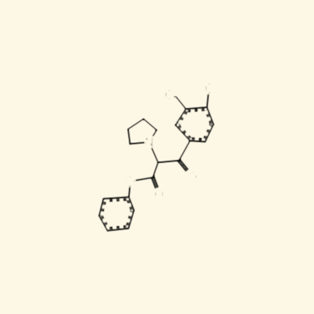 O=C(Oc1ccccc1)C(C(=O)c1ccc(Cl)c(Cl)c1)N1CCCC1